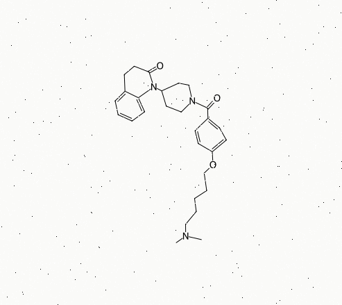 CN(C)CCCCCOc1ccc(C(=O)N2CCC(N3C(=O)CCc4ccccc43)CC2)cc1